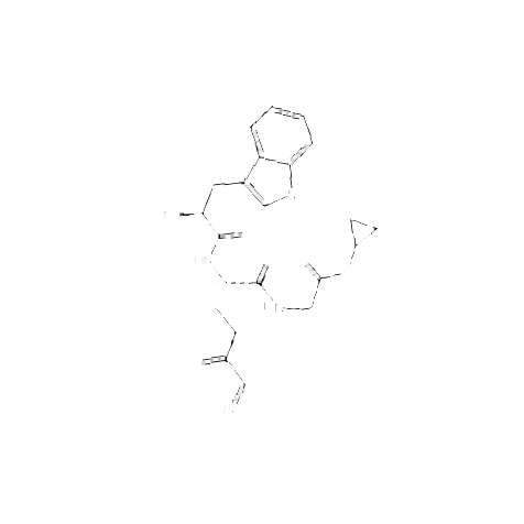 CC(=O)N[C@@H](Cc1c[nH]c2ccccc12)C(=O)N[C@@H](CCC(=O)C=N)C(=O)N[C@@H](C)C(=O)OC1CC1